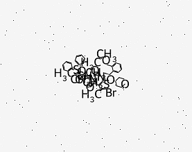 Cc1c(Br)sc2c1c(=O)n(C(C)(C)C(=O)O[Si](c1ccccc1)(c1ccccc1)C(C)(C)C)c(=O)n2C[C@H](OC1CCOCC1)c1ccccc1COC(C)C